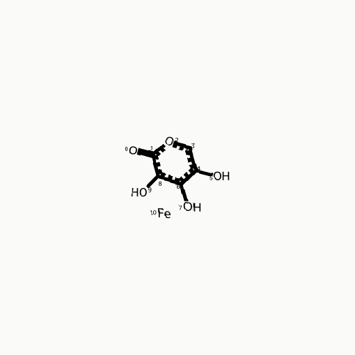 O=c1occ(O)c(O)c1O.[Fe]